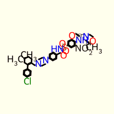 C[C@H]1CN(C[C@H]2COc3cc(S(=O)(=O)NC(=O)c4ccc(N5CCN(CC6=C(c7ccc(Cl)cc7)CC(C)(C)CC6)CC5)cc4)cc([N+](=O)[O-])c3N2)CCO1